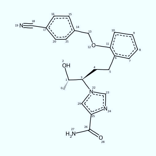 C[C@H](O)[C@@H](CCc1ccccc1OCc1ccc(C#N)cc1)n1cnc(C(N)=O)c1